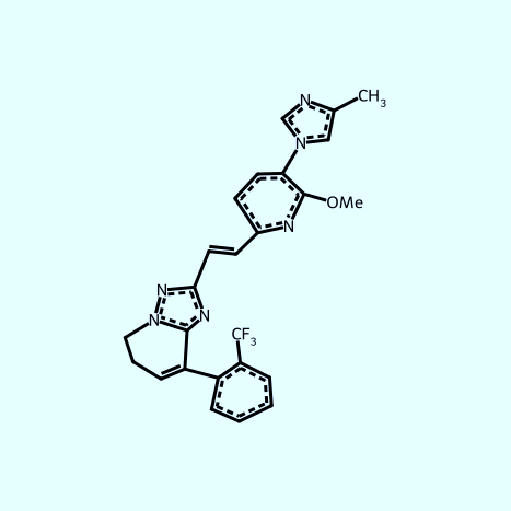 COc1nc(C=Cc2nc3n(n2)CCC=C3c2ccccc2C(F)(F)F)ccc1-n1cnc(C)c1